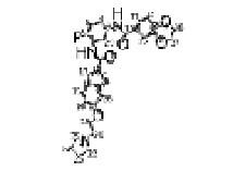 O=C(Nc1ccc(F)c(NC(=O)c2cc3ccc(OCCN4CCCC4)cc3s2)c1)c1ccc2c(c1)OCCO2